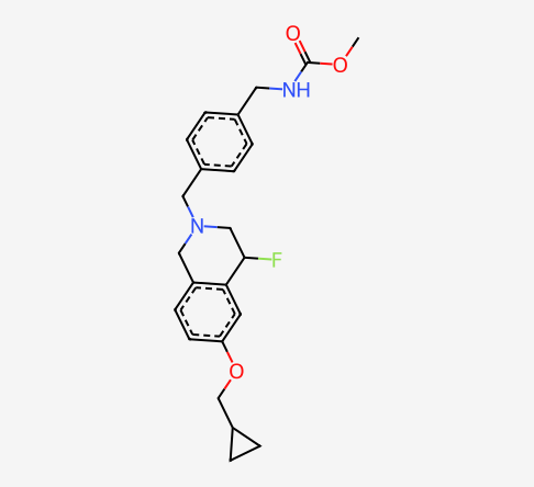 COC(=O)NCc1ccc(CN2Cc3ccc(OCC4CC4)cc3C(F)C2)cc1